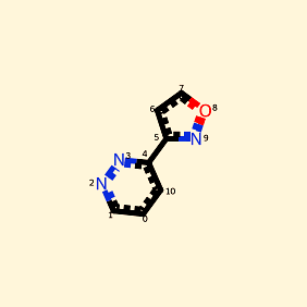 c1cnnc(-c2ccon2)c1